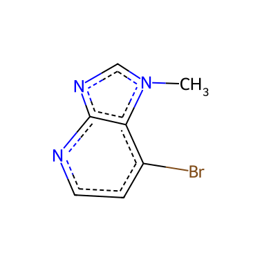 Cn1cnc2nccc(Br)c21